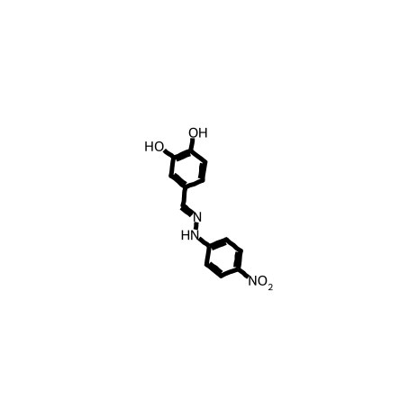 O=[N+]([O-])c1ccc(NN=Cc2ccc(O)c(O)c2)cc1